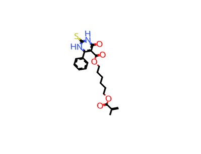 C=C(C)C(=O)OCCCCCCOC(=O)c1c(-c2ccccc2)[nH]c(=S)[nH]c1=O